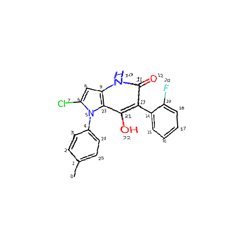 Cc1ccc(-n2c(Cl)cc3[nH]c(=O)c(-c4ccccc4F)c(O)c32)cc1